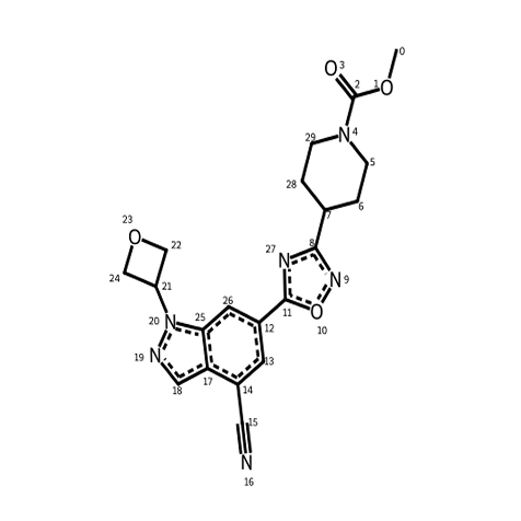 COC(=O)N1CCC(c2noc(-c3cc(C#N)c4cnn(C5COC5)c4c3)n2)CC1